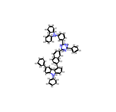 c1ccc(-c2ccc3c(c2)c2c(-c4ccc5ccc(-c6nc(-c7ccccc7)nc(-c7cccc(-n8c9ccccc9c9ccccc98)c7)n6)cc5c4)cccc2n3-c2ccccc2)cc1